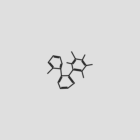 Cc1ccccc1-c1ccccc1-c1c(C)c(C)c(C)c(C)c1C